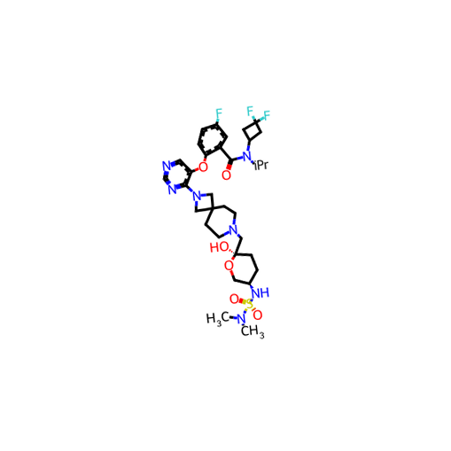 CC(C)N(C(=O)c1cc(F)ccc1Oc1cncnc1N1CC2(CCN(C[C@@]3(O)CC[C@@H](NS(=O)(=O)N(C)C)CO3)CC2)C1)C1CC(F)(F)C1